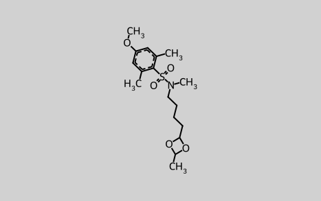 COc1cc(C)c(S(=O)(=O)N(C)CCCCC2OC(C)O2)c(C)c1